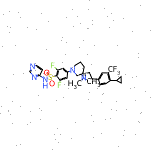 CN(C)[C@@]1(CCc2ccc(C3CC3)c(C(F)(F)F)c2)CCCN(c2cc(F)c(S(=O)(=O)Nc3ccncn3)c(F)c2)C1